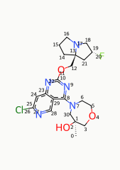 C[C@@]1(O)COCCN(c2nc(OC[C@@]34CCCN3C[C@H](F)C4)nc3cc(Cl)ncc23)C1